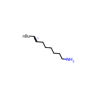 CCCC/C=C/CCCCCCN